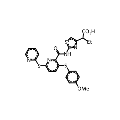 CCC(C(=O)O)c1csc(NC(=O)c2nc(Sc3ccccn3)ccc2Sc2ccc(OC)cc2)n1